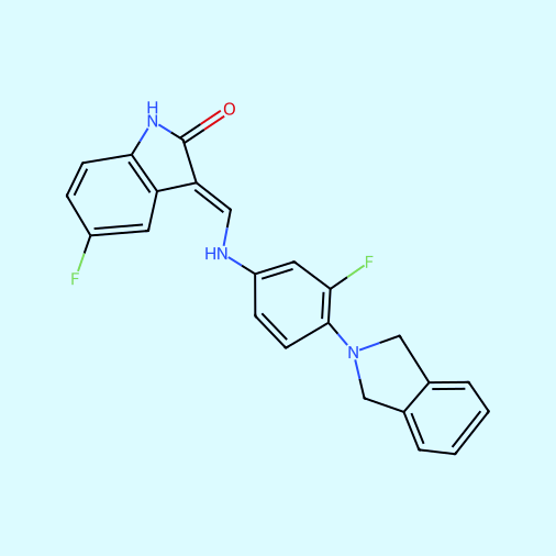 O=C1Nc2ccc(F)cc2/C1=C\Nc1ccc(N2Cc3ccccc3C2)c(F)c1